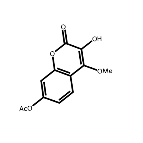 COc1c(O)c(=O)oc2cc(OC(C)=O)ccc12